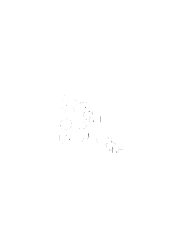 Nc1ccccc1C(=O)O.O=C([O-])C=Cc1c[nH]cn1.O=C([O-])C=Cc1c[nH]cn1.[Se+2]